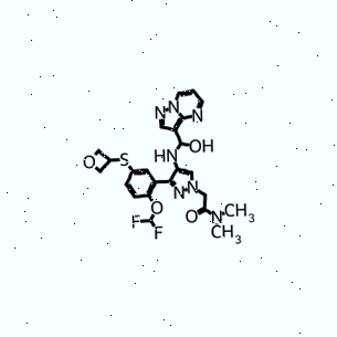 CN(C)C(=O)Cn1cc(NC(O)c2cnn3cccnc23)c(-c2cc(SC3COC3)ccc2OC(F)F)n1